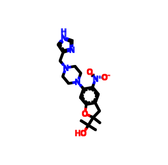 CC(C)(O)C1(C)Cc2cc([N+](=O)[O-])c(N3CCN(Cc4c[nH]cn4)CC3)cc2O1